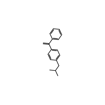 C=C(c1ccccc1)c1ccc(CC(C)C)cc1